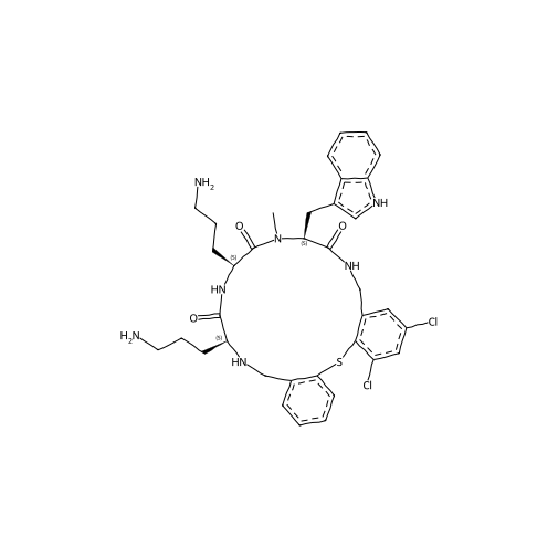 CN1C(=O)[C@H](CCCN)NC(=O)[C@H](CCCN)NCc2ccccc2Sc2c(Cl)cc(Cl)cc2CNC(=O)[C@@H]1Cc1c[nH]c2ccccc12